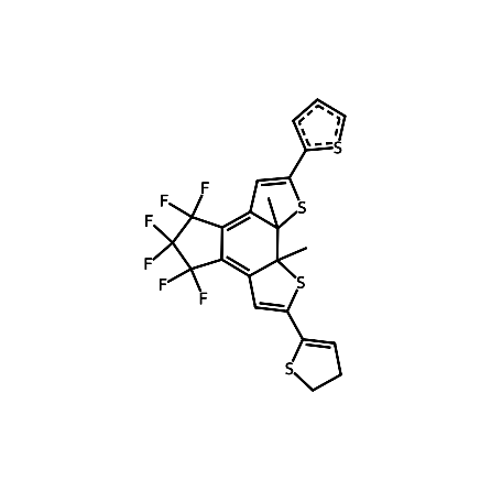 CC12SC(C3=CCCS3)=CC1=C1C(=C3C=C(c4cccs4)SC32C)C(F)(F)C(F)(F)C1(F)F